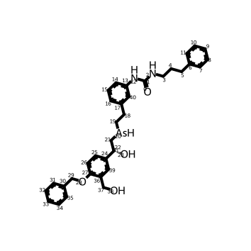 O=C(NCCCc1ccccc1)Nc1cccc(CC[AsH]C[C@H](O)c2ccc(OCc3ccccc3)c(CO)c2)c1